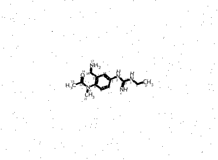 CCNC(=N)Nc1ccc(N(C)C(C)=O)c(CN)c1